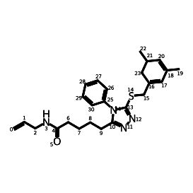 C=CCNC(=O)CCCCc1nnc(SCC2=CC(C)=CC(C)C2)n1-c1ccccc1